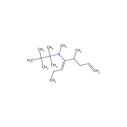 C=CCC(C)/C(=C/CC)N(C)C(C)(C)C(C)(C)C